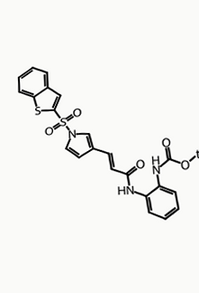 CC(C)(C)OC(=O)Nc1ccccc1NC(=O)C=Cc1ccn(S(=O)(=O)c2cc3ccccc3s2)c1